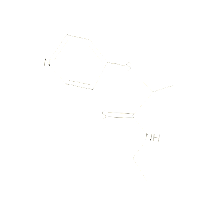 [CH2]C(Sc1ccncc1)C(=S)NCC